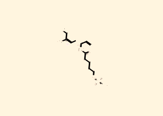 C=C[C@@H](C/C=C(/N)CS)NC(O)CCCCNS(=O)(=O)C(C)(C)C